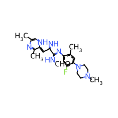 CC1=CN/C(=C\C(=N)/C(=N/c2cc(F)c(N3CCN(C)CC3)cc2C)NC=O)C(C)=N1